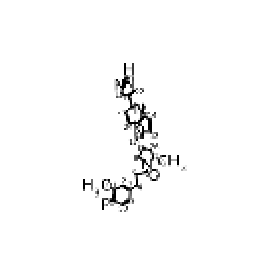 Cc1cc(CCC(=O)N2C[C@H](Cn3ccc4nc(-c5cn[nH]c5)ccc43)C[C@@H]2C)ccc1F